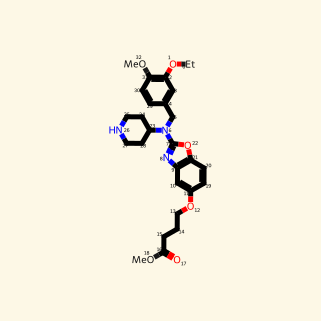 CCOc1cc(CN(c2nc3cc(OCCCC(=O)OC)ccc3o2)C2CCNCC2)ccc1OC